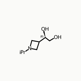 CC(C)N1CC([C@@H](O)CO)C1